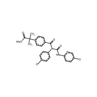 COC(=O)C(C)(C)c1ccc(C(=O)N(C(=O)Nc2ccc(Cl)cn2)c2ccc(Cl)cc2)cc1